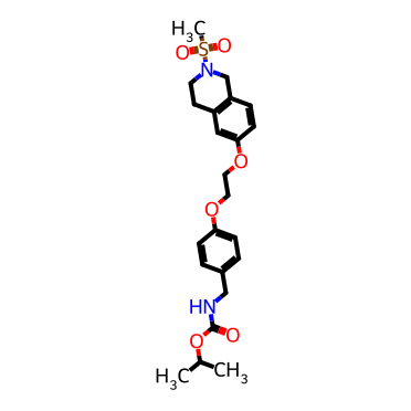 CC(C)OC(=O)NCc1ccc(OCCOc2ccc3c(c2)CCN(S(C)(=O)=O)C3)cc1